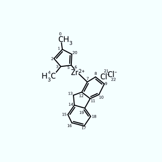 CC1=CC(C)[C]([Zr+2][c]2cccc3c2Cc2ccccc2-3)=C1.[Cl-].[Cl-]